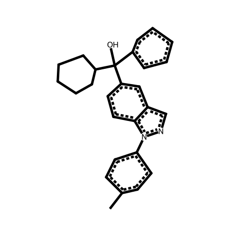 Cc1ccc(-n2ncc3cc(C(O)(c4ccccc4)C4CCCCC4)ccc32)cc1